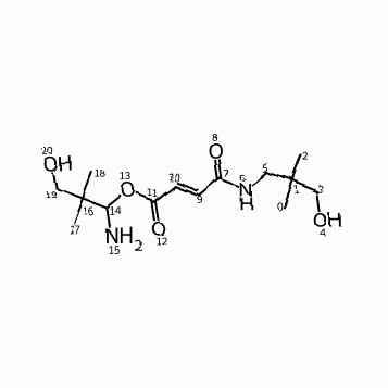 CC(C)(CO)CNC(=O)/C=C/C(=O)OC(N)C(C)(C)CO